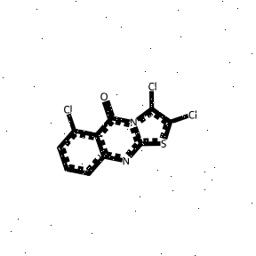 O=c1c2c(Cl)cccc2nc2sc(Cl)c(Cl)n12